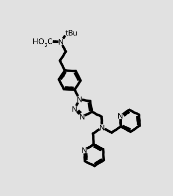 CC(C)(C)N(CCc1ccc(-n2cc(CN(Cc3ccccn3)Cc3ccccn3)nn2)cc1)C(=O)O